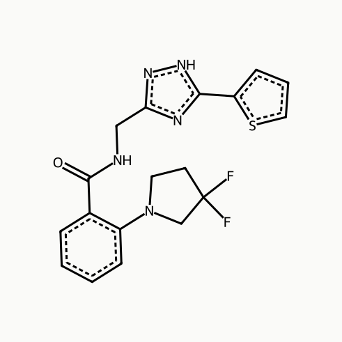 O=C(NCc1n[nH]c(-c2cccs2)n1)c1ccccc1N1CCC(F)(F)C1